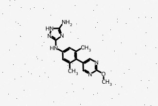 COc1ncc(-c2c(C)cc(Nc3n[nH]c(N)n3)cc2C)cn1